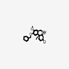 CC[C@]12C=CC(=O)C[C@@H]1NCc1cc(OC)c(OCc3ccccc3)cc12